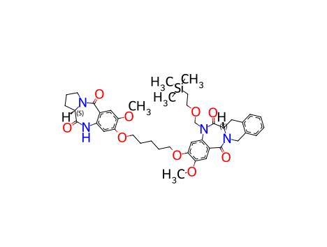 COc1cc2c(cc1OCCCCCOc1cc3c(cc1OC)C(=O)N1Cc4ccccc4C[C@H]1C(=O)N3COCC[Si](C)(C)C)NC(=O)[C@@H]1CCCN1C2=O